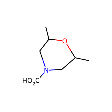 CC1CN(C(=O)O)CC(C)O1